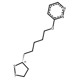 c1cnnc(OCCCCC[C@@H]2CCSS2)c1